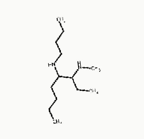 CCCCNC(CCCC)C(CC)NC